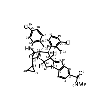 CNC(=O)c1ccc2c(c1)nc1n2C[C@H]2[C@@H]1[C@H](c1cccc(Cl)c1F)[C@@]1(Cc3ccc(Cl)cc3NC1=O)N2CC1CC1